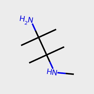 CNC(C)(C)C(C)(C)N